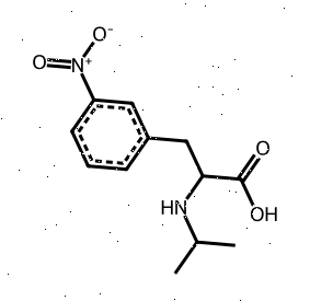 CC(C)NC(Cc1cccc([N+](=O)[O-])c1)C(=O)O